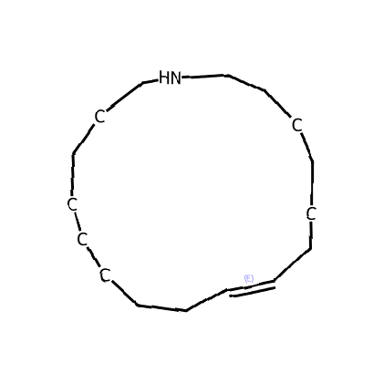 C1=C/CCCCCCNCCCCCCCC/1